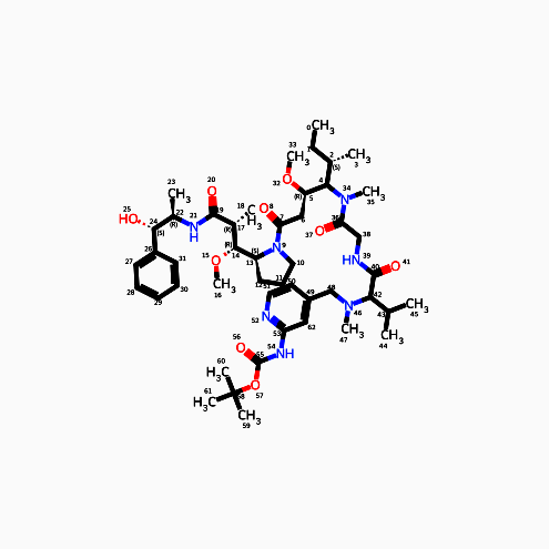 CC[C@H](C)C([C@@H](CC(=O)N1CCC[C@H]1[C@H](OC)[C@@H](C)C(=O)N[C@H](C)[C@@H](O)c1ccccc1)OC)N(C)C(=O)CNC(=O)C(C(C)C)N(C)Cc1ccnc(NC(=O)OC(C)(C)C)c1